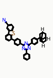 N#Cc1ccc2sc3c(-c4ccc(-c5nc(-c6ccccc6)nc(-c6ccc(C78C[C@H]9C[C@@H](C7)C[C@@H](C8)C9)cc6)n5)cc4)cccc3c2c1